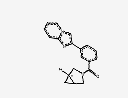 O=C(c1cccc(-c2cn3ccccc3n2)c1)N1CC2C[C@@H]2C1